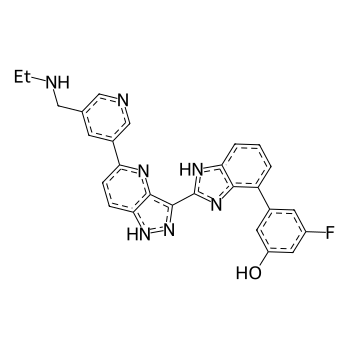 CCNCc1cncc(-c2ccc3[nH]nc(-c4nc5c(-c6cc(O)cc(F)c6)cccc5[nH]4)c3n2)c1